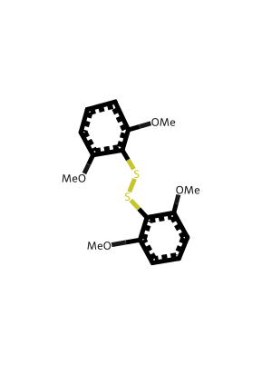 COc1cccc(OC)c1SSc1c(OC)cccc1OC